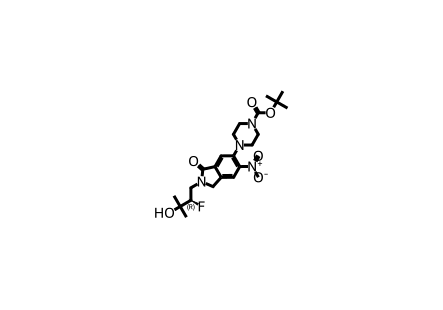 CC(C)(C)OC(=O)N1CCN(c2cc3c(cc2[N+](=O)[O-])CN(C[C@@H](F)C(C)(C)O)C3=O)CC1